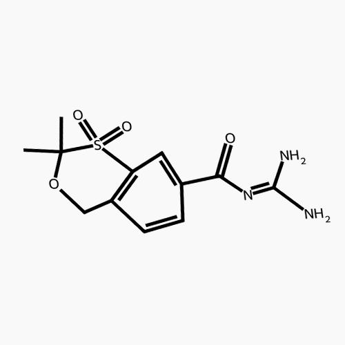 CC1(C)OCc2ccc(C(=O)N=C(N)N)cc2S1(=O)=O